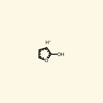 Oc1ccco1.[H+]